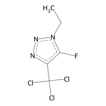 CCn1nnc(C(Cl)(Cl)Cl)c1F